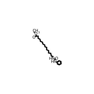 CCOC(=O)CCCCCCCCCCCCCCCNC(=O)Nc1ccccc1